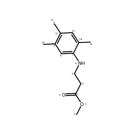 COC(=O)CCNc1cc(C)c(I)cc1C